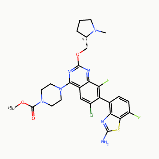 CN1CCC[C@H]1COc1nc(N2CCN(C(=O)OC(C)(C)C)CC2)c2cc(Cl)c(-c3ccc(F)c4sc(N)nc34)c(F)c2n1